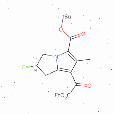 CCOC(=O)C(=O)c1c(C)c(C(=O)OC(C)(C)C)n2c1C[C@@H](F)C2